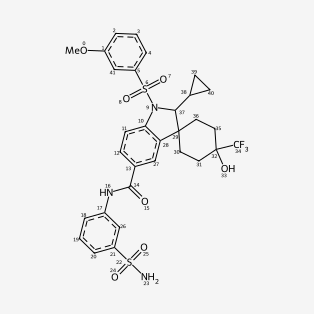 COc1cccc(S(=O)(=O)N2c3ccc(C(=O)Nc4cccc(S(N)(=O)=O)c4)cc3C3(CCC(O)(C(F)(F)F)CC3)C2C2CC2)c1